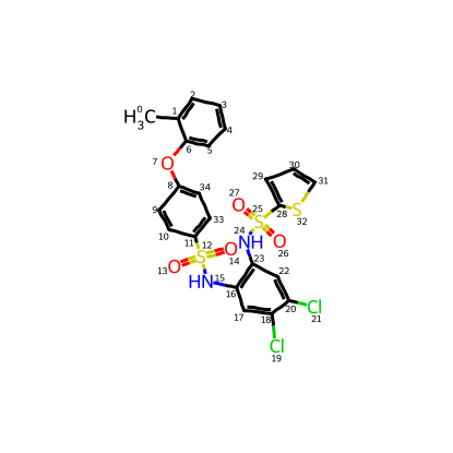 Cc1ccccc1Oc1ccc(S(=O)(=O)Nc2cc(Cl)c(Cl)cc2NS(=O)(=O)c2cccs2)cc1